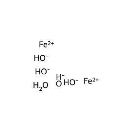 O.[Fe+2].[Fe+2].[OH-].[OH-].[OH-].[OH-]